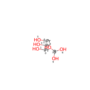 CC(C)O.CC(C)O.CC(C)O.OB(O)O